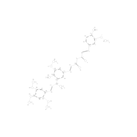 COc1cc(/C=C/C(=O)CC(=O)/C=C/c2cc(OC)c(O)c(C(C)/C=C/c3cc(OC)c(OC)cc3OC)c2)ccc1O